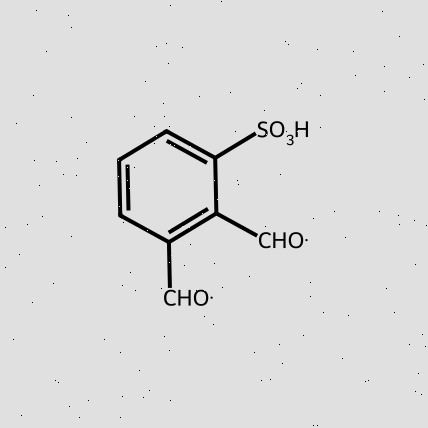 O=[C]c1cccc(S(=O)(=O)O)c1[C]=O